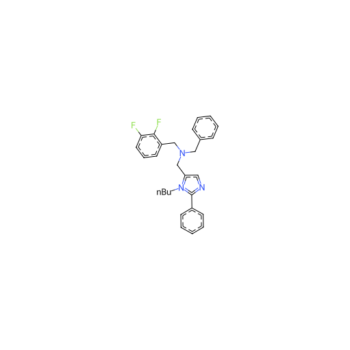 CCCCn1c(CN(Cc2ccccc2)Cc2cccc(F)c2F)cnc1-c1ccccc1